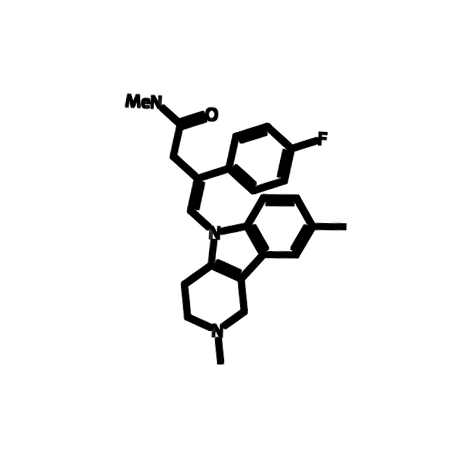 CNC(=O)C/C(=C/n1c2c(c3cc(C)ccc31)CN(C)CC2)c1ccc(F)cc1